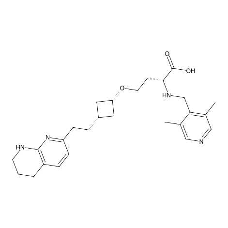 Cc1cncc(C)c1CN[C@H](CCO[C@H]1C[C@@H](CCc2ccc3c(n2)NCCC3)C1)C(=O)O